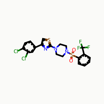 O=S(=O)(c1ccccc1C(F)(F)F)N1CCN(c2nc(-c3ccc(Cl)c(Cl)c3)cs2)CC1